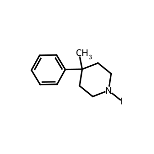 CC1(c2ccccc2)CCN(I)CC1